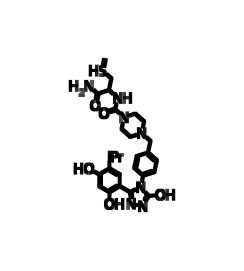 C=[SH]CC(NC(=O)N1CCN(Cc2ccc(-n3c(O)nnc3-c3cc(C(C)C)c(O)cc3O)cc2)CC1)C(N)=O